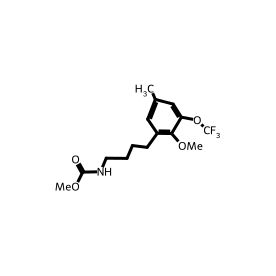 COC(=O)NCCCCc1cc(C)cc(OC(F)(F)F)c1OC